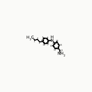 CCCCc1ccc(Nc2ccc(CN)cc2)cc1